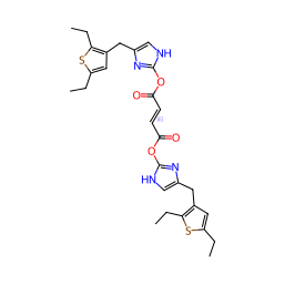 CCc1cc(Cc2c[nH]c(OC(=O)/C=C/C(=O)Oc3nc(Cc4cc(CC)sc4CC)c[nH]3)n2)c(CC)s1